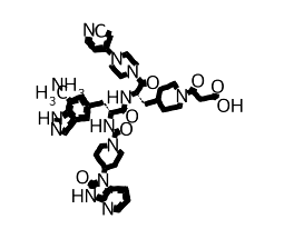 Cc1cc(C[C@@H](NC(=O)N2CCC(n3c(=O)[nH]c4ncccc43)CC2)C(=O)N[C@@H](CC2CCN(C(=O)CC(=O)O)CC2)C(=O)N2CCN(c3ccncc3)CC2)cc2cn[nH]c12.N